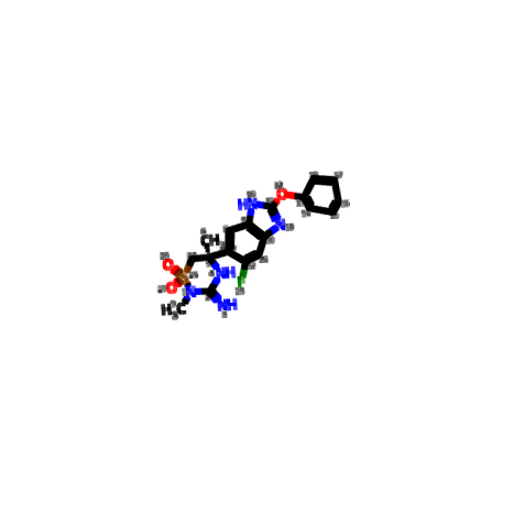 CN1C(=N)N[C@](C)(c2cc3[nH]c(Oc4ccccc4)nc3cc2F)CS1(=O)=O